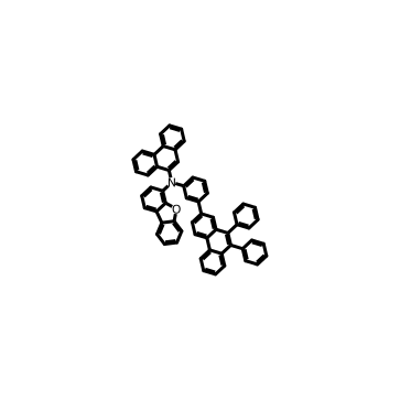 c1ccc(-c2c(-c3ccccc3)c3cc(-c4cccc(N(c5cc6ccccc6c6ccccc56)c5cccc6c5oc5ccccc56)c4)ccc3c3ccccc23)cc1